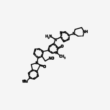 Cn1cc(-c2cccc(N3Cc4cc(C(C)(C)C)ccc4C3=O)c2CN=O)cc(N(N)c2ccc(N3CCNCC3)cn2)c1=O